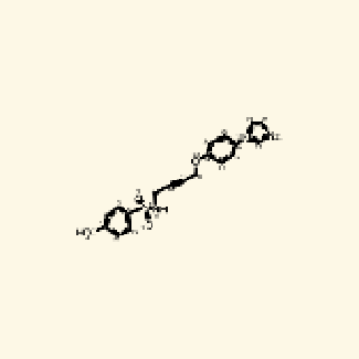 Cc1ccc(S(=O)(=O)NCC#CCOc2ccc(-n3ccnc3)cc2)cc1